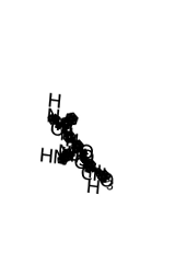 Cc1cc(S(=O)(=O)NC(=O)c2ccc(N3CCN(C[C@@H]4Cc5ccccc5CN4C(=O)C4CCNC4)CC3)cc2Oc2cnc3[nH]ccc3c2)ccc1NCC1CCOCC1